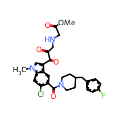 COC(=O)CNCC(=O)C(=O)c1cn(C)c2cc(Cl)c(C(=O)N3CCC(Cc4ccc(F)cc4)CC3)cc12